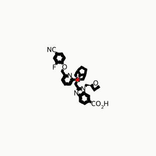 N#Cc1ccc(OCc2cccc(OC3C4CCC3CN(Cc3nc5ccc(C(=O)O)cc5n3C[C@@H]3CCO3)C4)n2)c(F)c1